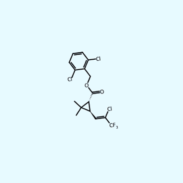 CC1(C)[C@H](C=C(Cl)C(F)(F)F)[C@H]1C(=O)OCc1c(Cl)cccc1Cl